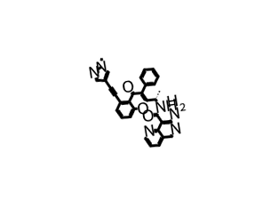 C[C@H](NC(=O)c1c(N)ncc2cccnc12)c1oc2cccc(C#Cc3cnn(C)c3)c2c(=O)c1-c1ccccc1